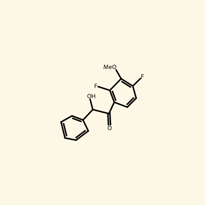 COc1c(F)ccc(C(=O)C(O)c2ccccc2)c1F